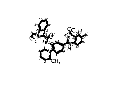 C[C@H]1CCCCN1c1ccc(C(=O)Nc2ccc(F)cc2CC(=O)O)cc1NC(=O)c1nn(CC(F)(F)F)c2ccccc12